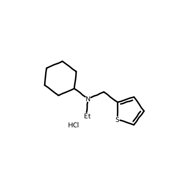 CCN(Cc1cccs1)C1CCCCC1.Cl